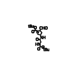 CC(C)(C)OC(=O)NCC(=O)NC1CC(C=O)N(C(=O)OC(C)(C)C)C1